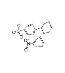 O=S(=O)(Cl)c1ccc(C2CCSCC2)cc1.O=[N+]([O-])c1ccccc1